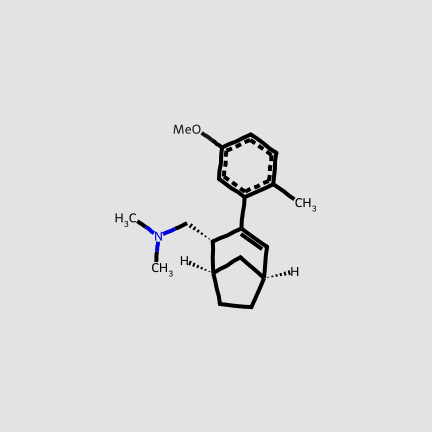 COc1ccc(C)c(C2=C[C@H]3CC[C@H](C3)[C@@H]2CN(C)C)c1